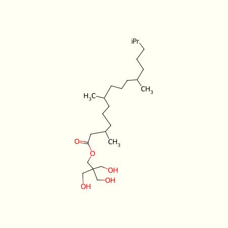 CC(C)CCCC(C)CCCC(C)CCCC(C)CC(=O)OCC(CO)(CO)CO